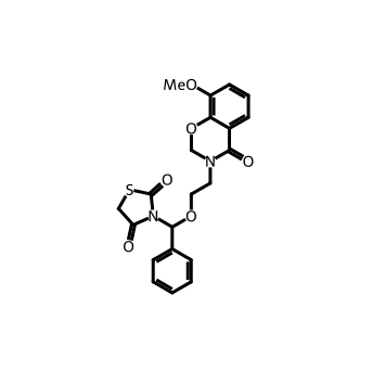 COc1cccc2c1OCN(CCOC(c1ccccc1)N1C(=O)CSC1=O)C2=O